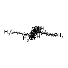 CCCCCCCCCCCCCCCCn1cc(Oc2cn(CCCCCCCCCCCCCCCC)c(C(C)=O)c(O)c2=O)c(=O)c(O)c1C(C)=O